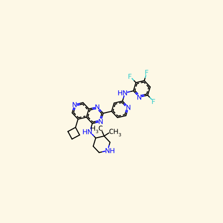 CC1(C)CNCCC1Nc1nc(-c2ccnc(Nc3nc(F)cc(F)c3F)c2)nc2cncc(C3CCC3)c12